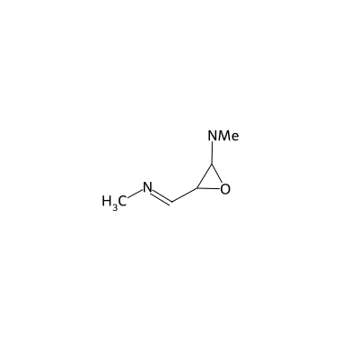 C/N=C/C1OC1NC